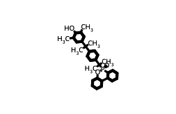 Cc1cc(C(C)(C)c2ccc(C(C)(C)P3(=O)Oc4ccccc4-c4ccccc43)cc2)cc(C)c1O